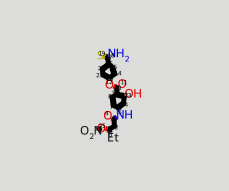 CCC(CC(=O)Nc1ccc(C(=O)Oc2ccc(C(N)=S)cc2)c(O)c1)O[N+](=O)[O-]